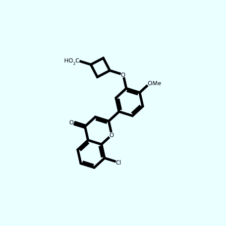 COc1ccc(-c2cc(=O)c3cccc(Cl)c3o2)cc1OC1CC(C(=O)O)C1